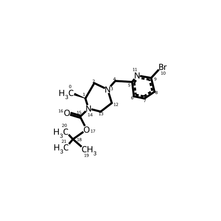 C[C@H]1CN(Cc2cccc(Br)n2)CCN1C(=O)OC(C)(C)C